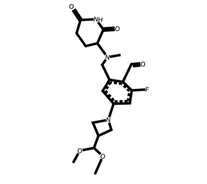 COC(OC)C1CN(c2cc(F)c(C=O)c(CN(C)C3CCC(=O)NC3=O)c2)C1